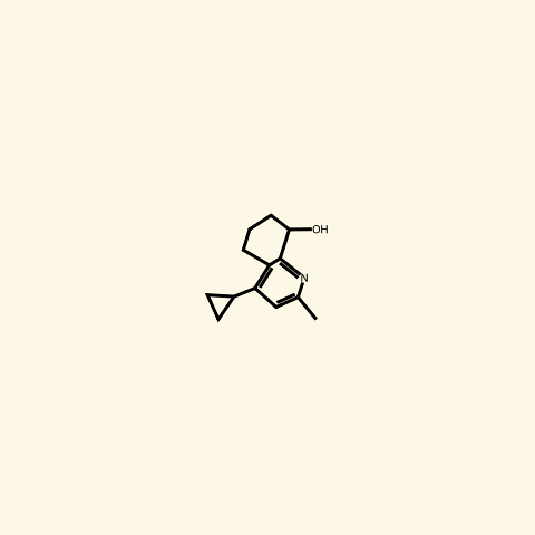 Cc1cc(C2CC2)c2c(n1)C(O)CCC2